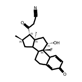 C[C@@H]1CC2C3CCC4=CC(=O)C=CC4[C@@]3(F)[C@@H](O)C[C@]2(C)[C@H]1C(=O)CC#N